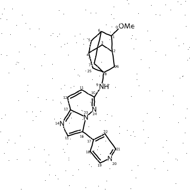 COC1C2CC3CC1CC(Nc1ccc4ncc(-c5ccncc5)n4n1)(C3)C2